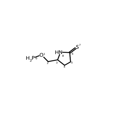 POCC1CCC(=S)N1